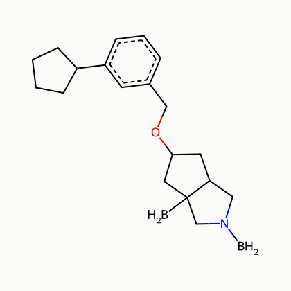 BN1CC2CC(OCc3cccc(C4CCCC4)c3)CC2(B)C1